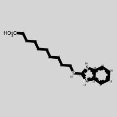 O=C(O)CCCCCCCCCSc1nc2ccccc2s1